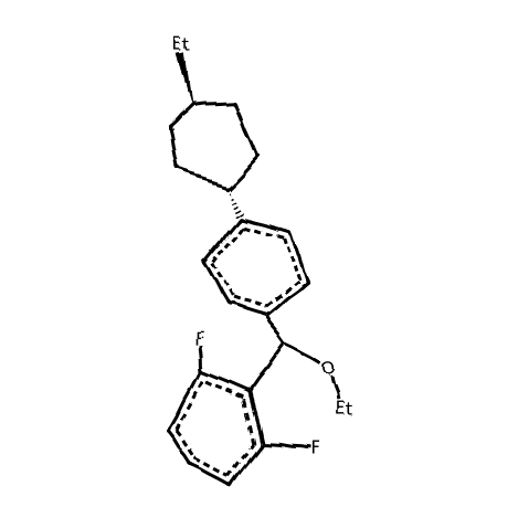 CCOC(c1ccc([C@H]2CC[C@H](CC)CC2)cc1)c1c(F)cccc1F